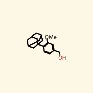 COc1cc(CO)ccc1C12CC3CC(CC(C3)C1)C2